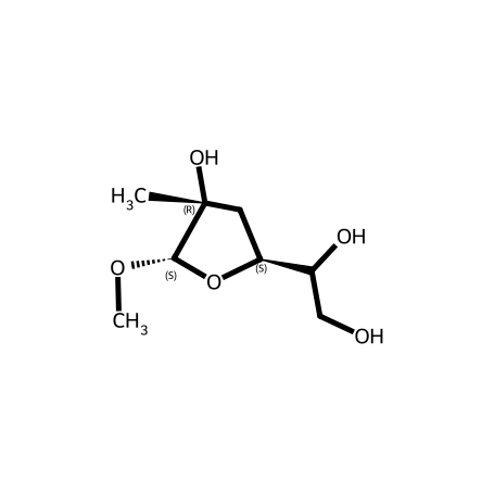 CO[C@H]1O[C@H](C(O)CO)C[C@@]1(C)O